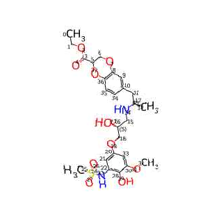 CCOC(=O)C1COc2cc(C[C@@H](C)NC[C@H](O)COc3cc(NS(C)(=O)=O)c(O)c(OC)c3)ccc2O1